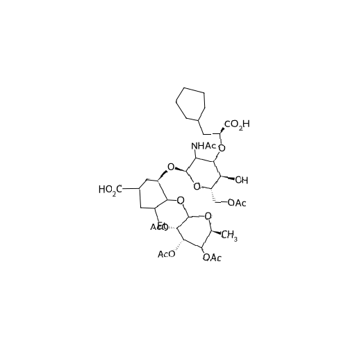 CCC1CC(C(=O)O)C[C@@H](O[C@@H]2O[C@@H](COC(C)=O)[C@H](O)C(O[C@@H](CC3CCCCC3)C(=O)O)C2NC(C)=O)C1OC1O[C@@H](C)C(OC(C)=O)[C@H](OC(C)=O)[C@@H]1OC(C)=O